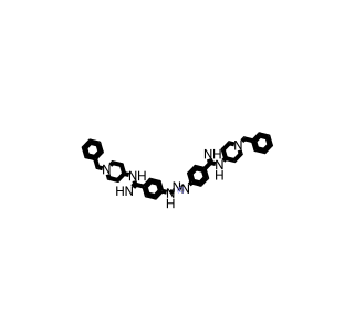 N=C(NC1CCN(Cc2ccccc2)CC1)c1ccc(/N=N/Nc2ccc(C(=N)NC3CCN(Cc4ccccc4)CC3)cc2)cc1